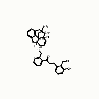 CN1CC[C@]23c4c5cccc4O[C@H]2[C@@H](OCc2ncccc2C(=O)CCc2cccc(O)c2CO)C=C[C@H]3[C@H]1C5